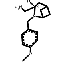 COc1ccc(CN2C3CC(C3)C[C@H]2CN)cc1